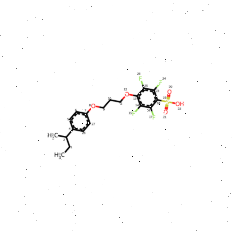 CCC(C)c1ccc(OCCCOc2c(F)c(F)c(S(=O)(=O)O)c(F)c2F)cc1